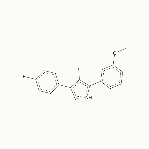 COc1cccc(-c2[nH]nc(-c3ccc(F)cc3)c2C)c1